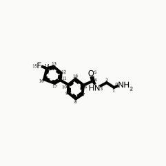 NCCNC(=O)c1cccc(-c2ccc(F)cc2)c1